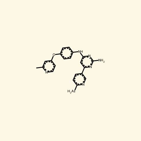 Cc1cc(Oc2ccc(Nc3cc(-c4ccc([AsH2])nc4)nc(N)n3)cc2)ccn1